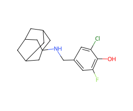 Oc1c(F)cc(CNC23CC4CC(CC(C4)C2)C3)cc1Cl